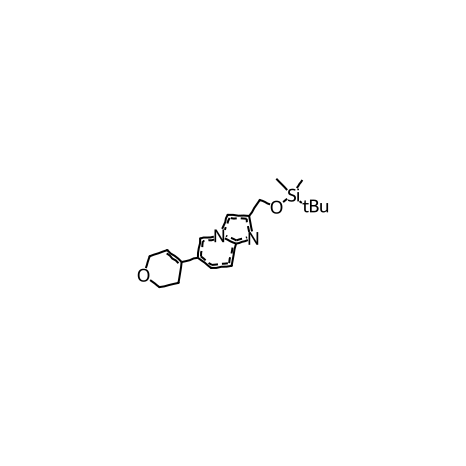 CC(C)(C)[Si](C)(C)OCc1cn2cc(C3=CCOCC3)ccc2n1